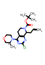 C=CCC1c2nc(Cl)nc(N3CCOC[C@@H]3C)c2CCN1C(=O)OC(C)(C)C